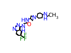 CCN[C@H]1CC[C@H](N2CC(NC(=O)CNc3ncnc4ccc(C(F)(F)F)cc34)C2)CC1